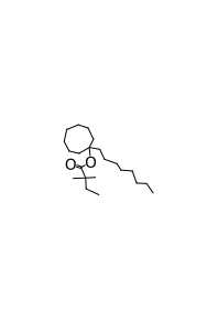 CCCCCCCCC1(OC(=O)C(C)(C)CC)CCCCCCC1